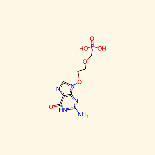 Nc1nc2c(ncn2OCCOCP(=O)(O)O)c(=O)[nH]1